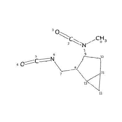 CN=C=O.O=C=NCC1CCC2CC12